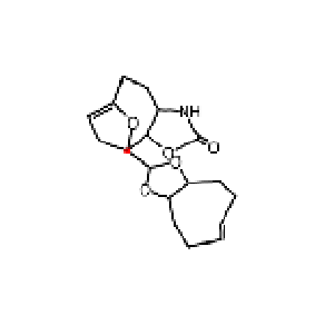 O=C1NC2CC/C(OCC3OC4CC/C=C/CCC4O3)=C/CCC2O1